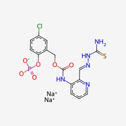 NC(=S)NN=Cc1ncccc1NC(=O)OCc1cc(Cl)ccc1OP(=O)([O-])[O-].[Na+].[Na+]